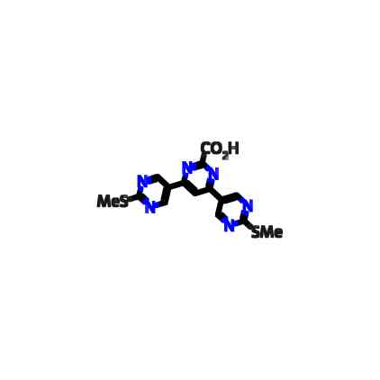 CSc1ncc(-c2cc(-c3cnc(SC)nc3)nc(C(=O)O)n2)cn1